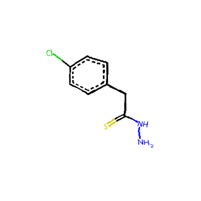 NNC(=S)Cc1ccc(Cl)cc1